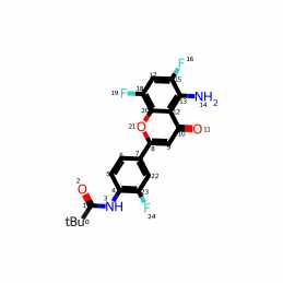 CC(C)(C)C(=O)Nc1ccc(-c2cc(=O)c3c(N)c(F)cc(F)c3o2)cc1F